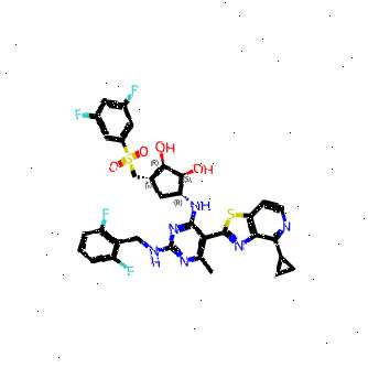 Cc1nc(NCc2c(F)cccc2F)nc(N[C@@H]2C[C@H](CS(=O)(=O)c3cc(F)cc(F)c3)[C@@H](O)[C@H]2O)c1-c1nc2c(C3CC3)nccc2s1